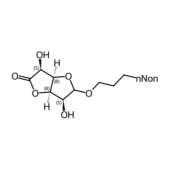 CCCCCCCCCCCCOC1O[C@H]2[C@H](OC(=O)[C@H]2O)[C@@H]1O